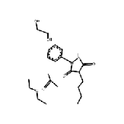 CC(C)=O.CCCCC1C(=O)NN(c2ccccc2)C1=O.CCOCC.OCCO